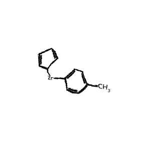 Cc1cc[c]([Zr][CH]2C=CC=C2)cc1